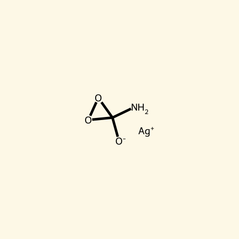 NC1([O-])OO1.[Ag+]